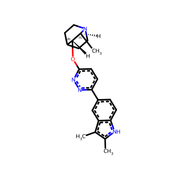 Cc1[nH]c2ccc(-c3ccc(O[C@@H]4C5CCN(CC5)[C@H]4C)nn3)cc2c1C